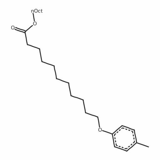 CCCCCCCCOC(=O)CCCCCCCCCCOc1ccc(C)cc1